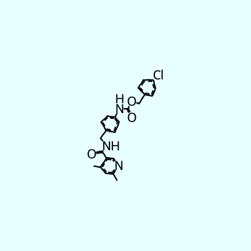 Cc1cc(C)c(C(=O)NCc2ccc(NC(=O)OCc3ccc(Cl)cc3)cc2)cn1